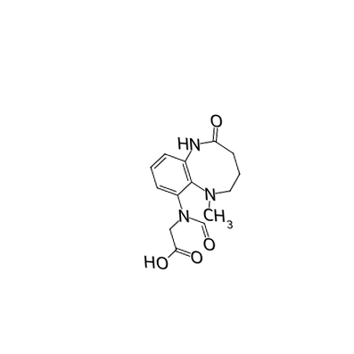 CN1CCCC(=O)Nc2cccc(N(C=O)CC(=O)O)c21